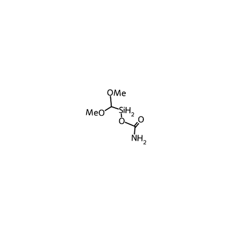 COC(OC)[SiH2]OC(N)=O